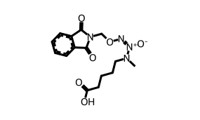 CN(CCCCC(=O)O)/[N+]([O-])=N\OCN1C(=O)c2ccccc2C1=O